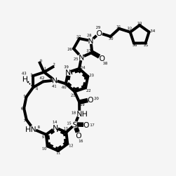 CC1(C)C[C@@H]2CCCNc3cccc(n3)S(=O)(=O)NC(=O)c3ccc(N4CCN(OCCC5CCCC5)C4=O)nc3N1C2